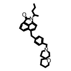 CCCC(C)N1C(=O)c2cccc3c(Cc4ccc(CN5CCC6(CCCCO6)CC5)cc4)ccc1c23